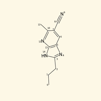 CCCc1nc2cc(C#N)c(C)nc2[nH]1